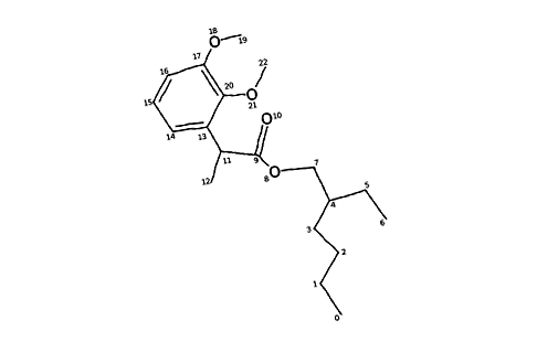 CCCCC(CC)COC(=O)C(C)c1cccc(OC)c1OC